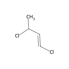 CC(Cl)/C=C/Cl